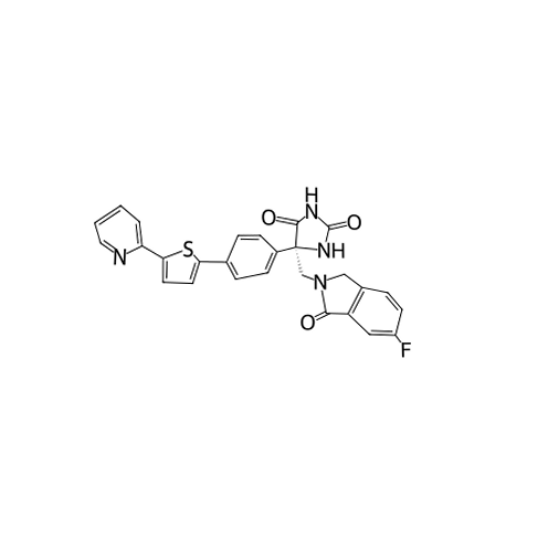 O=C1NC(=O)[C@](CN2Cc3ccc(F)cc3C2=O)(c2ccc(-c3ccc(-c4ccccn4)s3)cc2)N1